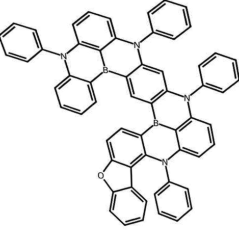 c1ccc(N2c3ccccc3B3c4cc5c(cc4N(c4ccccc4)c4cccc2c43)N(c2ccccc2)c2cccc3c2B5c2ccc4oc5ccccc5c4c2N3c2ccccc2)cc1